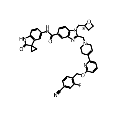 N#Cc1ccc(COc2cccc(C3=CCN(Cc4nc5cc(C(=O)Nc6ccc7c(c6)C6(CC6)C(=O)N7)ccc5n4C[C@@H]4CCO4)CC3)n2)c(F)c1